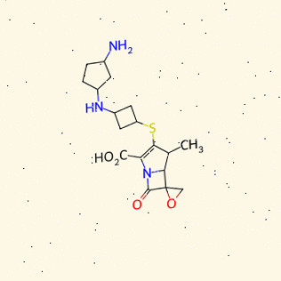 CC1C(SC2CC(NC3CCC(N)C3)C2)=C(C(=O)O)N2C(=O)C3(CO3)C12